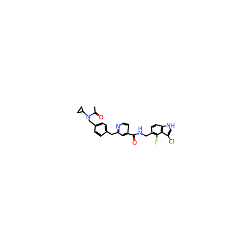 CC(=O)N(Cc1ccc(Cc2cc(C(=O)NCc3ccc4[nH]cc(Cl)c4c3F)ccn2)cc1)C1CC1